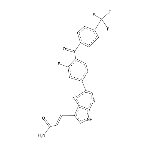 NC(=O)/C=C/c1c[nH]c2ncc(-c3ccc(C(=O)c4ccc(C(F)(F)F)cc4)c(F)c3)nc12